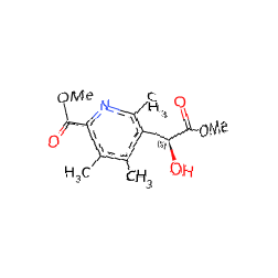 COC(=O)c1nc(C)c([C@H](O)C(=O)OC)c(C)c1C